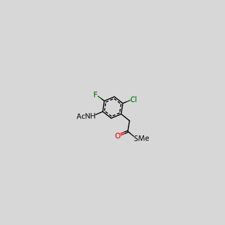 CSC(=O)Cc1cc(NC(C)=O)c(F)cc1Cl